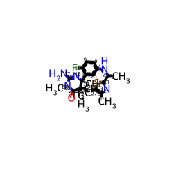 Cc1nc(C(C)Nc2ccc(F)c([C@@]3(C)N=C(N)N(C)C(=O)C3(C)C)c2)sc1C